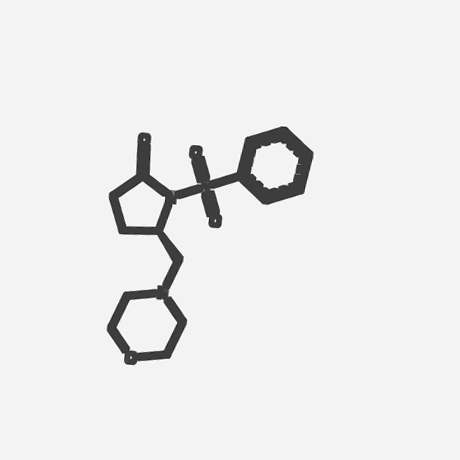 O=C1CC[C@H](CN2CCOCC2)N1S(=O)(=O)c1ccccc1